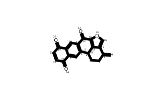 C=C1CC[C@@]2(C)c3cc4c(cc3C(=O)c3occ1c32)C(=O)C=CC4=O